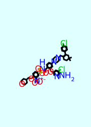 CC1(C)CCC(CN2CCN(c3ccc(C(=O)NS(=O)(=O)c4ccc(OCC5CCOCC5)c([N+](=O)[O-])c4)c(Oc4cnc(N)c(Cl)c4)c3)CC2)=C(c2ccc(Cl)cc2)C1